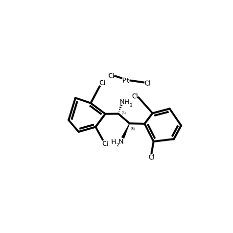 N[C@H](c1c(Cl)cccc1Cl)[C@@H](N)c1c(Cl)cccc1Cl.[Cl][Pt][Cl]